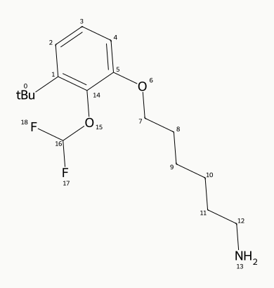 CC(C)(C)c1cccc(OCCCCCCN)c1OC(F)F